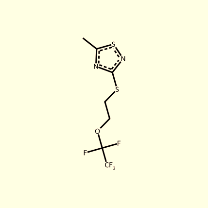 Cc1nc(SCCOC(F)(F)C(F)(F)F)ns1